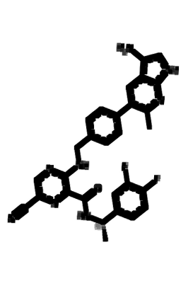 Cc1nc2[nH]cc(N)c2cc1-c1ccc(CNc2ncc(C#N)nc2C(=O)N[C@@H](C)c2ccc(F)c(F)c2)cc1